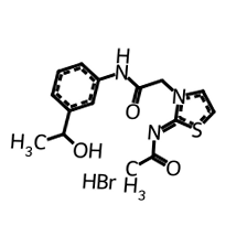 Br.CC(=O)N=c1sccn1CC(=O)Nc1cccc(C(C)O)c1